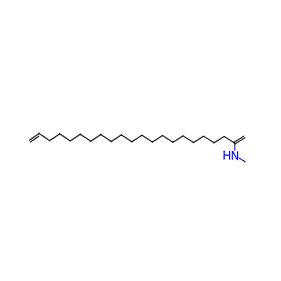 C=CCCCCCCCCCCCCCCCCCCC(=C)NC